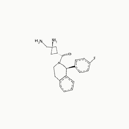 NC[C@]1(N)C[C@H](C(=O)N2CCc3ccccc3[C@@H]2c2ccc(F)cc2)C1